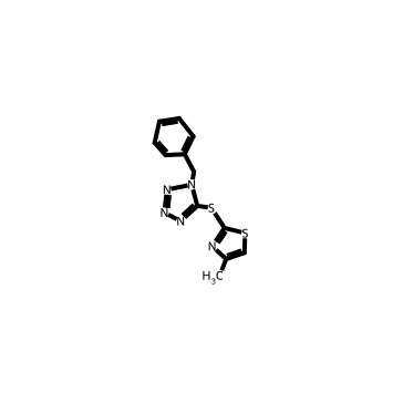 Cc1csc(Sc2nnnn2Cc2ccccc2)n1